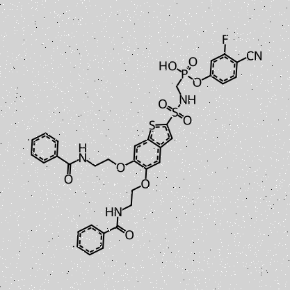 N#Cc1ccc(OP(=O)(O)CNS(=O)(=O)c2cc3cc(OCCNC(=O)c4cc[c]cc4)c(OCCNC(=O)c4cc[c]cc4)cc3s2)cc1F